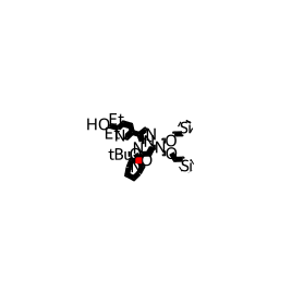 CCC(O)(CC)c1ccc(-c2cnn3c(N(COCC[Si](C)(C)C)COCC[Si](C)(C)C)cc(C4CC5CCC(C4)N5C(=O)OC(C)(C)C)nc23)cn1